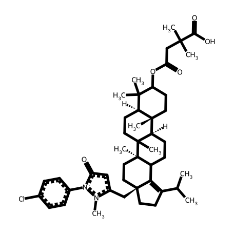 CC(C)C1=C2C3CC[C@H]4C(C)(CC[C@H]5C(C)(C)C(OC(=O)CC(C)(C)C(=O)O)CC[C@@]54C)[C@]3(C)CC[C@@]2(Cc2cc(=O)n(-c3ccc(Cl)cc3)n2C)CC1